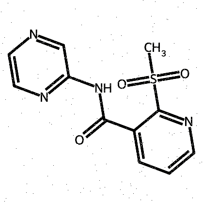 CS(=O)(=O)c1ncccc1C(=O)Nc1cnccn1